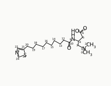 CN(C)CC(CC(=O)O)NC(=O)CCCCCCCCCc1cncs1